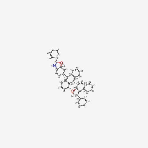 c1ccc(-c2nc3ccc(-c4c5ccccc5c(-c5cc6ccccc6c6c(-c7ccccc7)coc56)c5ccccc45)cc3o2)cc1